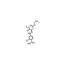 CCOC(=O)CC(=NNc1ccc(C(=O)O)c(Cl)c1)C(C)=O